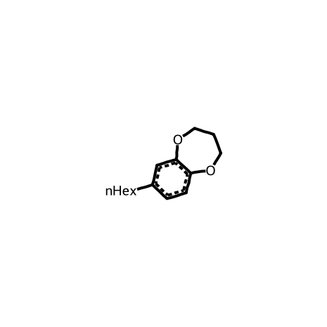 [CH2]CCCCCc1ccc2c(c1)OCCCO2